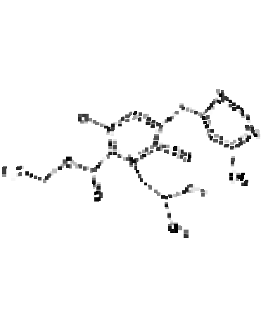 CCOC(=O)c1c(Cl)cc(Nc2cc(C)ncn2)c(=O)n1CC(C)C